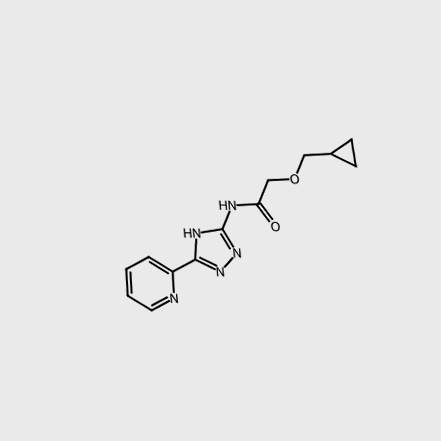 O=C(COCC1CC1)Nc1nnc(-c2ccccn2)[nH]1